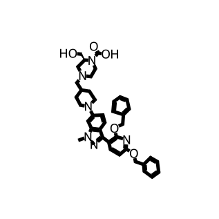 Cn1nc(-c2ccc(OCc3ccccc3)nc2OCc2ccccc2)c2ccc(N3CCC(CN4CCN(C(=O)O)[C@H](CO)C4)CC3)cc21